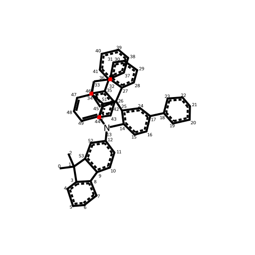 CC1(C)c2ccccc2-c2ccc(N3c4ccc(-c5ccccc5)cc4C45c6ccccc6C(c6c(-c7ccccc7)ccc3c64)C3C=CC=CC35)cc21